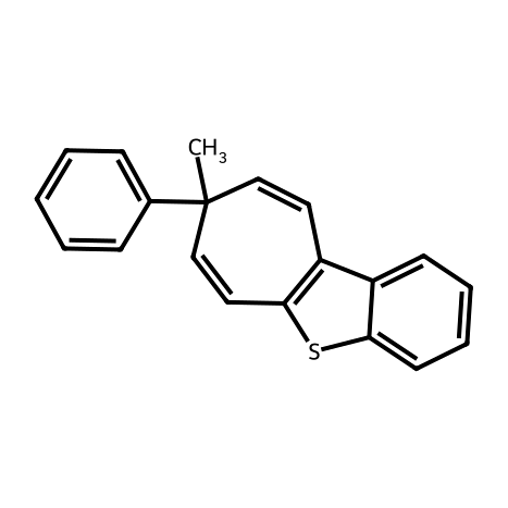 CC1(c2ccccc2)C=Cc2sc3ccccc3c2C=C1